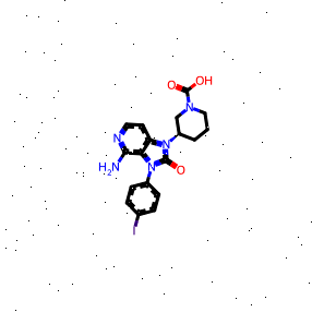 Nc1nccc2c1n(-c1ccc(I)cc1)c(=O)n2[C@@H]1CCCN(C(=O)O)C1